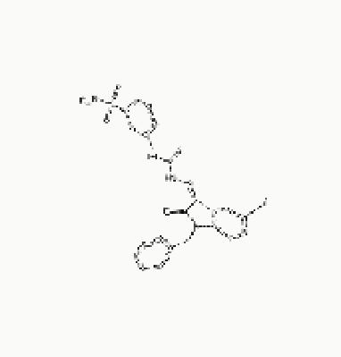 NS(=O)(=O)c1cccc(NC(=S)NN=C2C(=O)N(Cc3ccccc3)c3ccc(I)cc32)c1